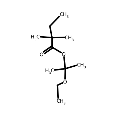 CCOC(C)(C)OC(=O)C(C)(C)CC